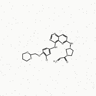 C=CC(=O)N1CC[C@H](Nc2ccc3ncnc(Nc4ccc(OCC5OCCCO5)c(Cl)c4)c3n2)C1